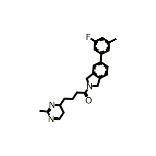 CC1=NC(CCCC(=O)N2Cc3ccc(-c4cc(C)cc(F)c4)cc3C2)CC=N1